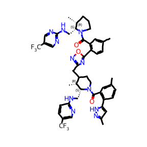 Cc1ccc(-c2cc(C)n[nH]2)c(C(=O)N2CCC(Cc3noc(-c4ccc(C)cc4C(=O)N4CCC[C@@H](C)[C@H]4CNc4ncc(C(F)(F)F)cn4)n3)[C@@H](C)[C@H]2CNc2ccc(C(F)(F)F)cn2)c1